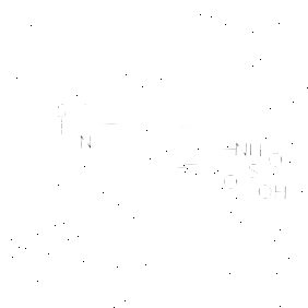 CCc1nc(CCc2ccc(NS(=O)(=O)O)cc2)cs1